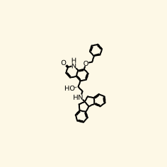 O=c1ccc2c([C@@H](O)CNC34Cc5ccccc5C3c3ccccc3C4)ccc(OCc3ccccc3)c2[nH]1